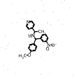 COc1ccc(C(NC(C)c2ccncc2)c2cccc([N+](=O)[O-])c2)cc1